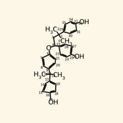 CC(C)(CC(Oc1ccc(C(C)(C)c2ccc(O)cc2)cc1)c1ccc(O)cc1)c1ccc(O)cc1